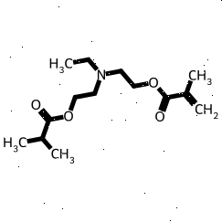 C=C(C)C(=O)OCCN(CC)CCOC(=O)C(C)C